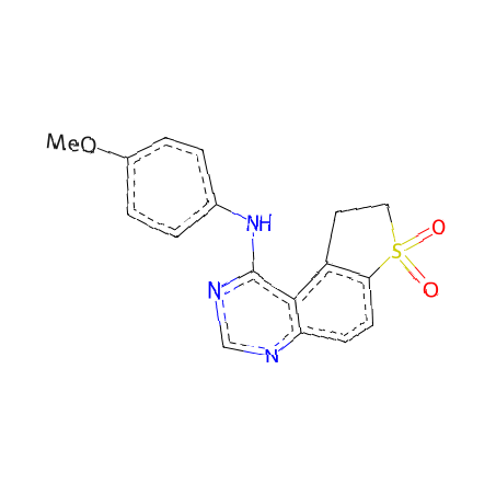 COc1ccc(Nc2ncnc3ccc4c(c23)CCS4(=O)=O)cc1